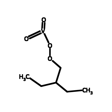 CCC(CC)CO[O][V](=[O])=[O]